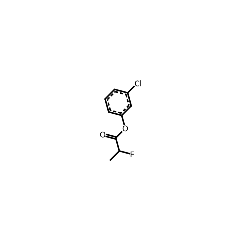 CC(F)C(=O)Oc1cccc(Cl)c1